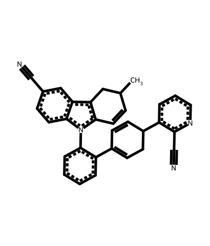 CC1C=Cc2c(c3cc(C#N)ccc3n2-c2ccccc2C2=CCC(c3cccnc3C#N)C=C2)C1